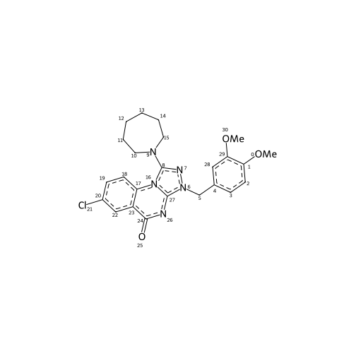 COc1ccc(Cn2nc(N3CCCCCC3)n3c4ccc(Cl)cc4c(=O)nc23)cc1OC